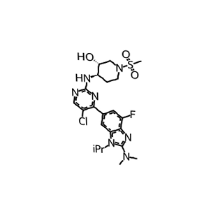 CC(C)n1c(N(C)C)nc2c(F)cc(-c3nc(N[C@@H]4CCN(S(C)(=O)=O)C[C@H]4O)ncc3Cl)cc21